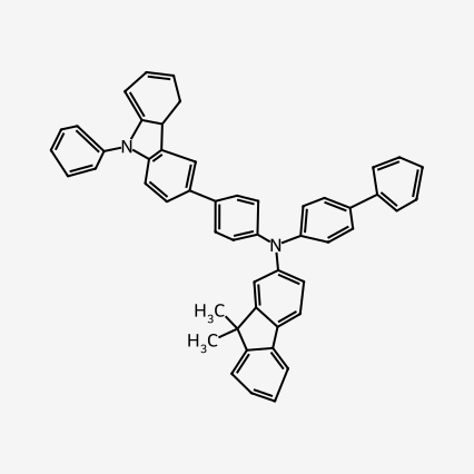 CC1(C)c2ccccc2-c2ccc(N(c3ccc(-c4ccccc4)cc3)c3ccc(-c4ccc5c(c4)C4CC=CC=C4N5c4ccccc4)cc3)cc21